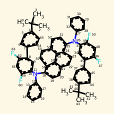 CC(C)(C)c1ccc(-c2cc(N(c3ccccc3)c3ccc4ccc5c(N(c6ccccc6)c6cc(-c7ccc(C(C)(C)C)cc7)c(F)cc6F)ccc6ccc3c4c65)c(F)cc2F)cc1